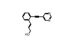 OCC=Cc1ccccc1C#Cc1cncnc1